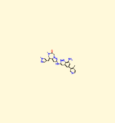 Cc1ccncc1-c1cc(N)c2nnc(Nc3cc4n(n3)CC(=O)N(C)C/C4=C\c3cnn(C)c3)cc2c1